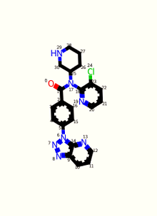 O=C(c1ccc(-n2nnc3cccnc32)cc1)N(c1ncccc1Cl)C1CCCNC1